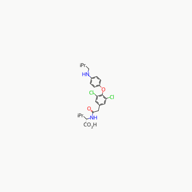 CC(C)CNc1ccc(Oc2c(Cl)cc(CC(=O)N[C@H](C(=O)O)C(C)C)cc2Cl)cc1